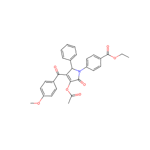 CCOC(=O)c1ccc(N2C(=O)C(OC(C)=O)=C(C(=O)c3ccc(OC)cc3)C2c2ccccc2)cc1